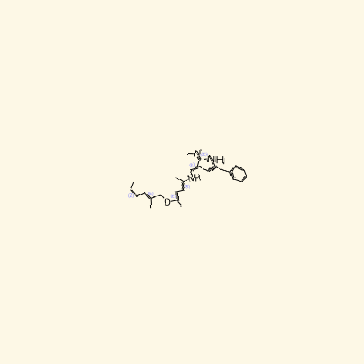 C/C=C\C=C(/C)CO/C(C)=C/C=C(\C)N/C=C1\C=C(c2ccccc2)N\C1=N\C